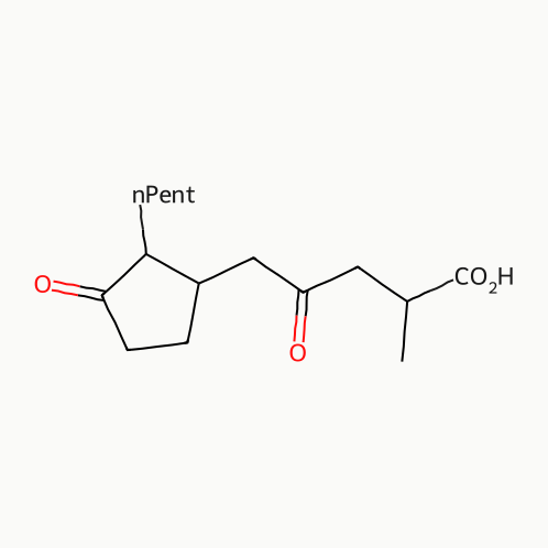 CCCCCC1C(=O)CCC1CC(=O)CC(C)C(=O)O